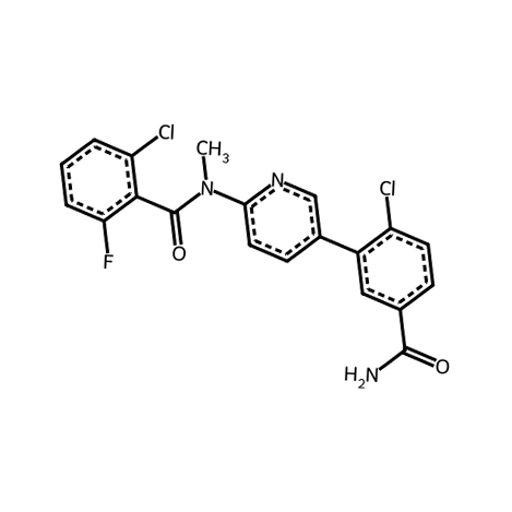 CN(C(=O)c1c(F)cccc1Cl)c1ccc(-c2cc(C(N)=O)ccc2Cl)cn1